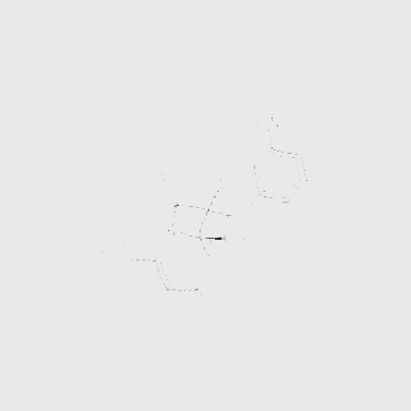 CC1(Oc2cccc(C#N)c2)C(=O)N2C(C(=O)O)=CCS[C@H]21